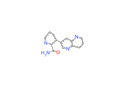 NC(=O)c1ncccc1-c1cnc2cccnc2c1